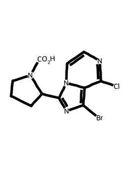 O=C(O)N1CCCC1c1nc(Br)c2c(Cl)nccn12